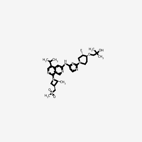 CC(C)c1cnc(N2C[C@H](CS(C)(=O)=O)[C@H]2C)c2cnc(Nc3ccnc(N4CC[C@@H](OCC(C)(C)O)[C@@H](F)C4)n3)cc12